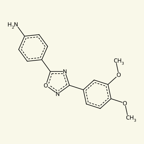 COc1ccc(-c2noc(-c3ccc(N)cc3)n2)cc1OC